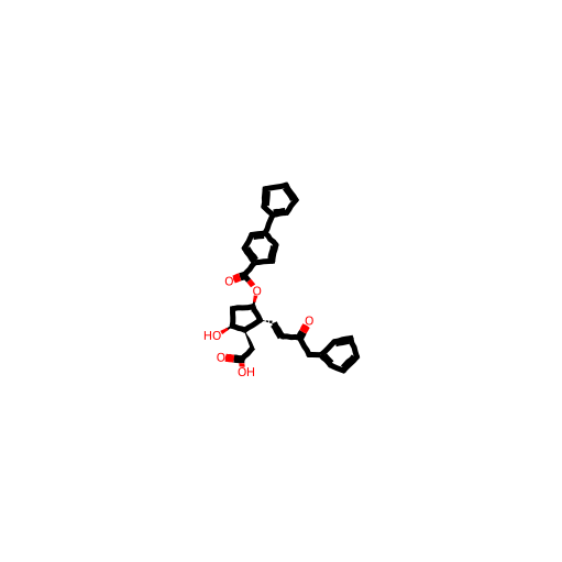 O=C(O)C[C@@H]1[C@@H](C=CC(=O)Cc2ccccc2)[C@H](OC(=O)c2ccc(-c3ccccc3)cc2)C[C@@H]1O